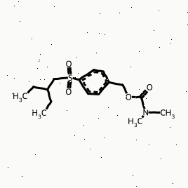 CCC(CC)CS(=O)(=O)c1ccc(COC(=O)N(C)C)cc1